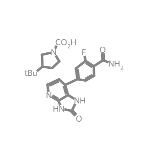 CC(C)(C)C1CCN(C(=O)O)C1.NC(=O)c1ccc(-c2ccnc3[nH]c(=O)[nH]c23)cc1F